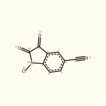 N#Cc1ccc2c(c1)C(=O)C(=O)N2Cl